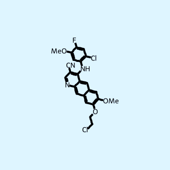 COc1cc(Nc2c(C#N)cnc3cc4cc(OCCCl)c(OC)cc4cc23)c(Cl)cc1F